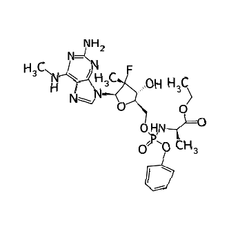 CCOC(=O)[C@@H](C)NP(=O)(OC[C@H]1O[C@@H](n2cnc3c(NC)nc(N)nc32)[C@](C)(F)[C@@H]1O)Oc1ccccc1